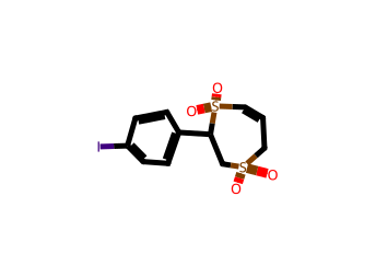 O=S1(=O)CC=CS(=O)(=O)C(c2ccc(I)cc2)C1